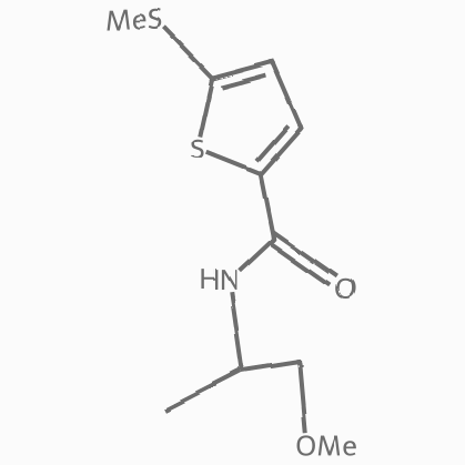 COCC(C)NC(=O)c1ccc(SC)s1